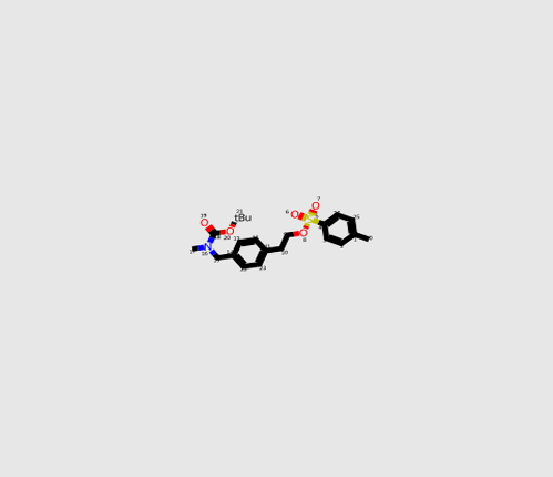 Cc1ccc(S(=O)(=O)OCCc2ccc(CN(C)C(=O)OC(C)(C)C)cc2)cc1